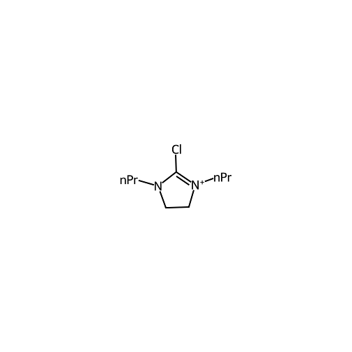 CCCN1CC[N+](CCC)=C1Cl